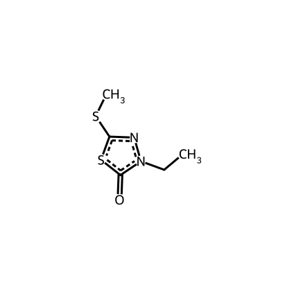 CCn1nc(SC)sc1=O